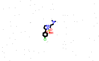 CN(C)CCC[N+]1(S(=O)(=O)O)NCCC1c1ccc(Cl)cc1